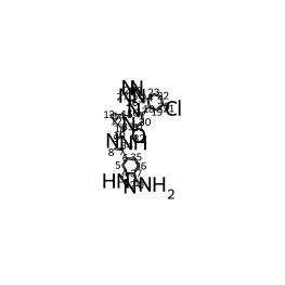 Nc1n[nH]c2cc(-c3cnc(C4C5CC5c5nc(-c6cc(Cl)ccc6-n6cnnn6)cc(=O)n54)[nH]3)ccc12